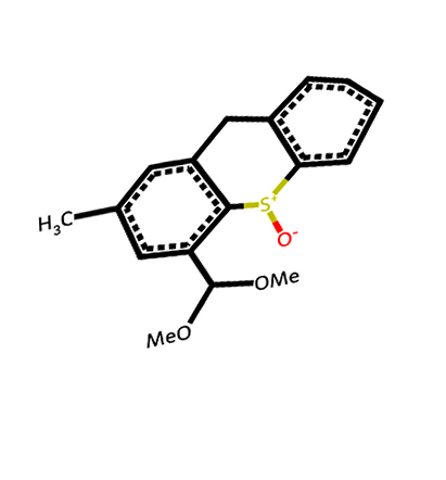 COC(OC)c1cc(C)cc2c1[S+]([O-])c1ccccc1C2